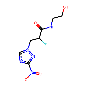 O=C(NCCO)C(F)Cn1cnc([N+](=O)[O-])n1